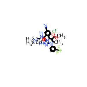 COC(=O)C1=C(C)N(c2cccc(C(F)(F)F)c2)c2n[nH]c(=O)n2C1c1ccc(C#N)cc1C(=O)NCC[N+](C)(C)C.[Cl-]